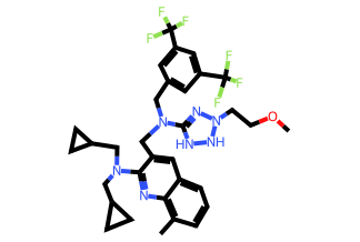 COCCN1N=C(N(Cc2cc(C(F)(F)F)cc(C(F)(F)F)c2)Cc2cc3cccc(C)c3nc2N(CC2CC2)CC2CC2)NN1